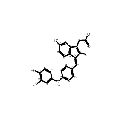 CC1=C(CC(=O)O)c2cc(F)ccc2/C1=C\c1ccc(Oc2ccc(F)c(F)c2)cc1